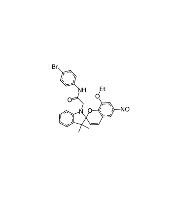 CCOc1cc(N=O)cc2c1OC1(C=C2)N(CC(=O)Nc2ccc(Br)cc2)c2ccccc2C1(C)C